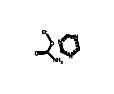 CCOC(N)=O.c1ncncn1